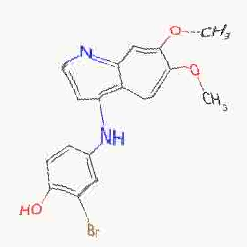 COc1cc2nccc(Nc3ccc(O)c(Br)c3)c2cc1OC